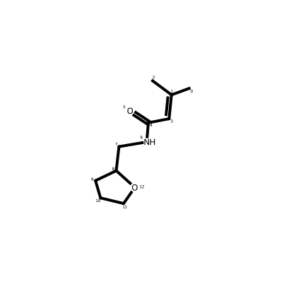 CC(C)=CC(=O)NCC1CCCO1